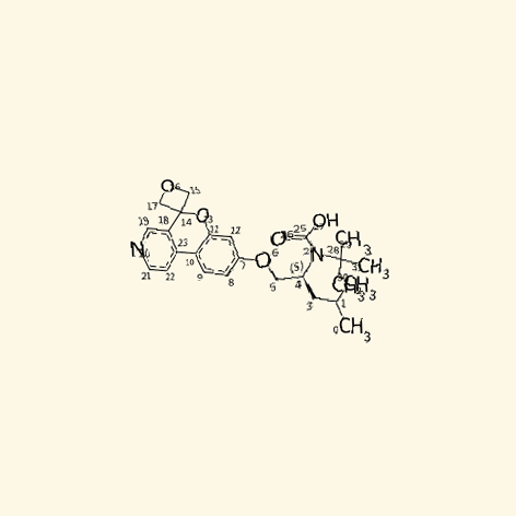 CC(C)C[C@@H](COc1ccc2c(c1)OC1(COC1)c1cnccc1-2)N(C(=O)O)C(C)(C)C